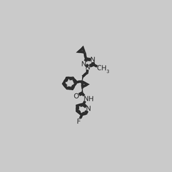 Cc1nc(C2CC2)nn1CC[C@@]1(c2ccccc2)C[C@H]1C(=O)Nc1ccc(F)cn1